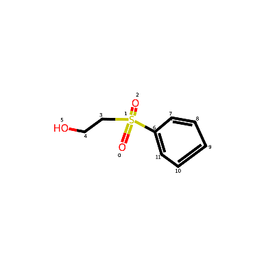 O=S(=O)(CCO)c1[c]cccc1